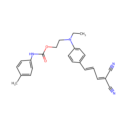 CCN(CCOC(=O)Nc1ccc(C)cc1)c1ccc(/C=C/C=C(C#N)C#N)cc1